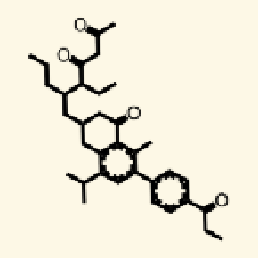 CCCC(CC1CC(=O)c2c(C)c(-c3ccc(C(=O)CC)cc3)cc(C(C)C)c2C1)C(CC)C(=O)CC(C)=O